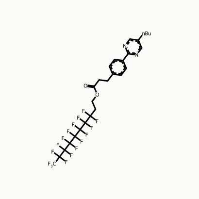 CCCCc1cnc(-c2ccc(CCC(=O)OCCC(F)(F)C(F)(F)C(F)(F)C(F)(F)C(F)(F)C(F)(F)C(F)(F)C(F)(F)F)cc2)nc1